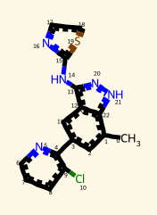 Cc1cc(-c2ncccc2Cl)cc2c(Nc3nccs3)n[nH]c12